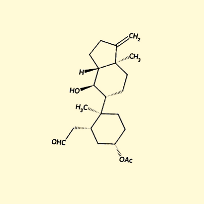 C=C1CC[C@H]2[C@H](O)[C@@H]([C@@]3(C)CC[C@H](OC(C)=O)C[C@@H]3CC=O)CC[C@]12C